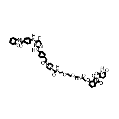 O=C(COc1cccc2c1C(=O)N(C1CCC(=O)NC1=O)C2=O)NCCOCCOCCNC(=O)N1CCN(C(=O)Cc2ccc(Nc3ncc(F)c(Nc4ccc(C(=O)Nc5ccccc5Cl)cc4)n3)cc2)CC1